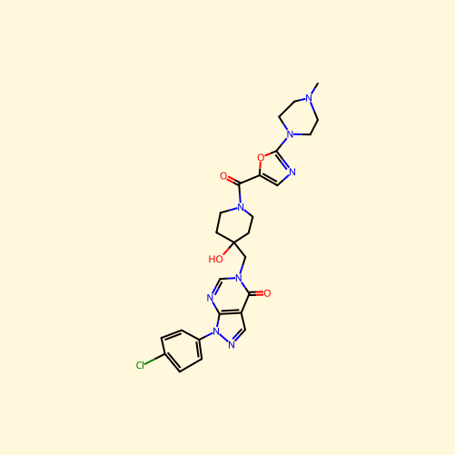 CN1CCN(c2ncc(C(=O)N3CCC(O)(Cn4cnc5c(cnn5-c5ccc(Cl)cc5)c4=O)CC3)o2)CC1